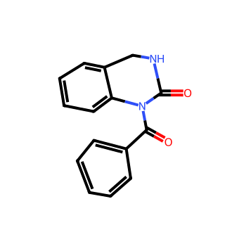 O=C1NCc2ccccc2N1C(=O)c1ccccc1